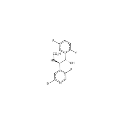 O=C(O)N[C@H](c1cc(Br)ncc1F)[C@@H](O)c1cc(F)ccc1F